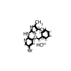 Cc1nc(Nc2ncc(Br)cc2OCc2ccccc2)sc1C.Cl